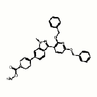 CCCCOC(=O)N1CC=C(c2ccc3c(-c4ccc(OCc5ccccc5)nc4OCc4ccccc4)nn(C)c3c2)CC1